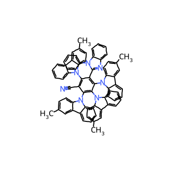 Cc1ccc2c(c1)c1ccccc1n2-c1c(C#N)c(-n2c3ccccc3c3cc(C)ccc32)c(-n2c3ccccc3c3cc(C)ccc32)c(-n2c3ccccc3c3cc(C)ccc32)c1-c1nc2ccccc2n1-c1ccccc1